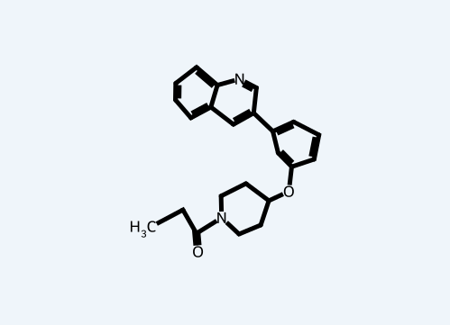 CCC(=O)N1CCC(Oc2cccc(-c3cnc4ccccc4c3)c2)CC1